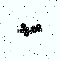 O=C(c1ccccc1CSc1nnc2c(n1)[nH]c1ccccc12)C(O)c1ccccc1